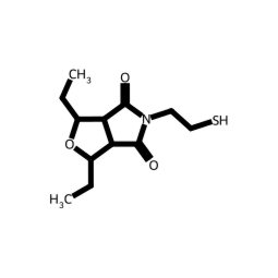 CCC1OC(CC)C2C(=O)N(CCS)C(=O)C12